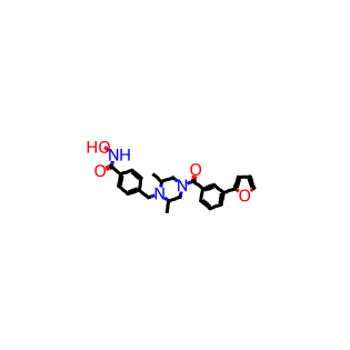 CC1CN(C(=O)c2cccc(-c3ccco3)c2)CC(C)N1Cc1ccc(C(=O)NO)cc1